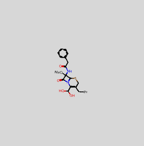 COC1(NC(=O)Cc2ccccc2)C(=O)N2C(C(O)O)=C(CC(C)C)CSC21